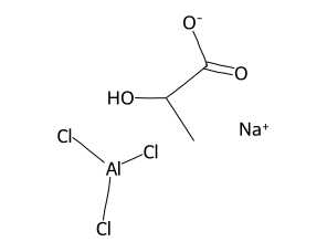 CC(O)C(=O)[O-].[Cl][Al]([Cl])[Cl].[Na+]